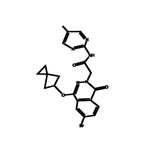 Cc1cnc(NC(=O)Cn2nc(OC3CC4(CC4)C3)c3cc(Br)ccc3c2=O)nc1